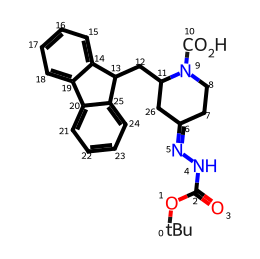 CC(C)(C)OC(=O)NN=C1CCN(C(=O)O)C(CC2c3ccccc3-c3ccccc32)C1